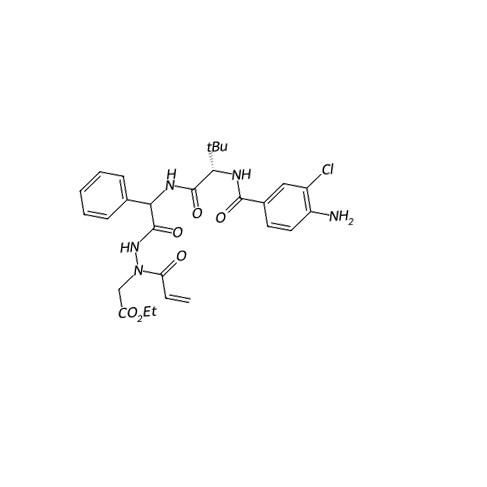 C=CC(=O)N(CC(=O)OCC)NC(=O)C(NC(=O)[C@@H](NC(=O)c1ccc(N)c(Cl)c1)C(C)(C)C)c1ccccc1